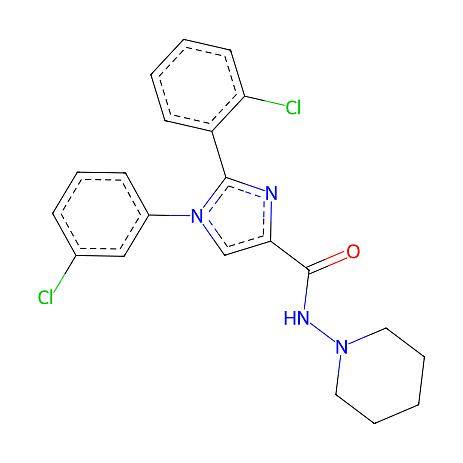 O=C(NN1CCCCC1)c1cn(-c2cccc(Cl)c2)c(-c2ccccc2Cl)n1